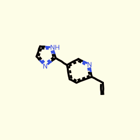 C=Cc1ccc(-c2ncc[nH]2)cn1